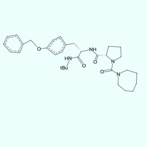 CC(C)(C)NC(=O)[C@H](Cc1ccc(OCc2ccccc2)cc1)NC(=O)[C@@H]1CCCN1C(=O)N1CCCCCC1